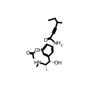 CC(=O)O.CCC(C)C#CC(N)=O.CN[C@@H](C)[C@@H](O)c1ccccc1